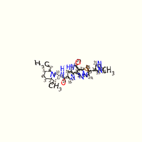 CCC1CCCC(CC)N1CCNC(=O)c1cnc2c(c1)[nH]c(=O)c1c2nn2cc(-c3cnn(C)c3)sc12